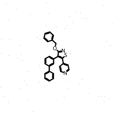 c1ccc(COc2nsc(-c3ccncc3)c2-c2cccc(-c3ccccc3)c2)cc1